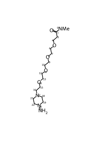 CNC(=O)CCOCCOCCOCCOCCN1CCN(N)CC1